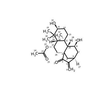 C=C1C(=O)[C@]23C[C@H]1C[C@H](O)[C@H]2[C@]1(C)CC[C@H](O)C(C)(C)[C@H]1[C@@H](OC(C)=O)C3